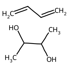 C=CC=C.CC(O)C(C)O